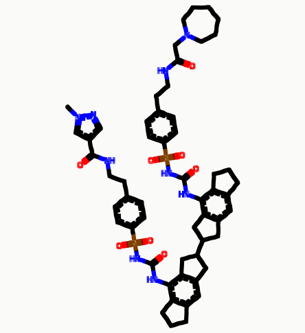 Cn1cc(C(=O)NCCc2ccc(S(=O)(=O)NC(=O)Nc3c4c(cc5c3CC(C3Cc6cc7c(c(NC(=O)NS(=O)(=O)c8ccc(CCNC(=O)CN9CCCCCC9)cc8)c6C3)CCC7)C5)CCC4)cc2)cn1